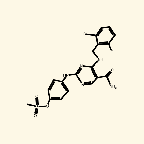 CS(=O)(=O)Oc1ccc(Nc2ncc(C(N)=O)c(NCc3c(F)cccc3F)n2)cc1